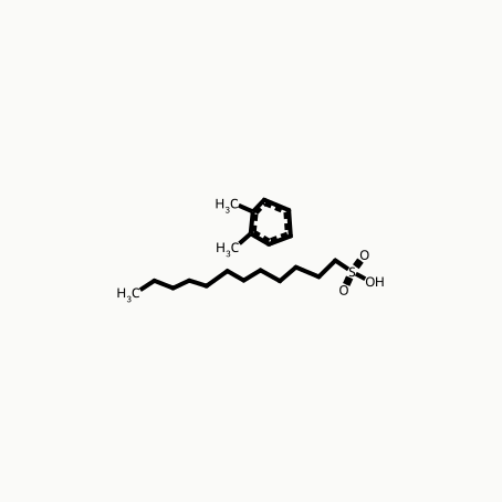 CCCCCCCCCCCCS(=O)(=O)O.Cc1ccccc1C